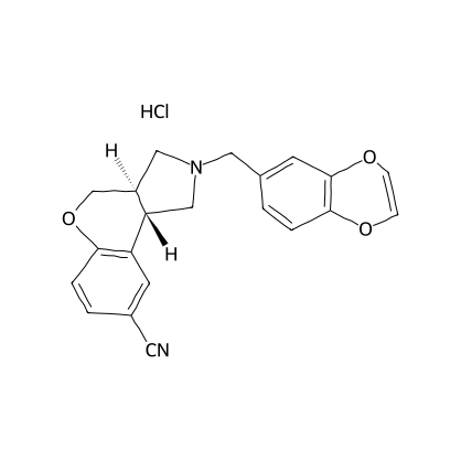 Cl.N#Cc1ccc2c(c1)[C@H]1CN(Cc3ccc4c(c3)OC=CO4)C[C@@H]1CO2